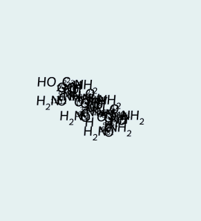 NC(=O)C[C@H](NC(=O)[C@H](CC(N)=O)NC(=O)CNC(=O)CNC(=O)[C@H](CC(N)=O)NC(=O)[C@H](CC(N)=O)NC(=O)CNC(=O)CNC(=O)[C@H](CC(N)=O)NC(=O)[C@@H](N)CC(N)=O)C(=O)O